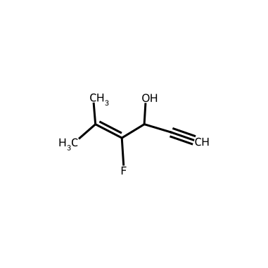 C#CC(O)C(F)=C(C)C